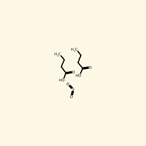 CCCC(=O)O.CCCC(=O)O.O=S=O